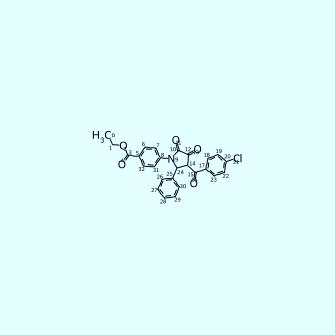 CCOC(=O)c1ccc(N2C(=O)C(=O)C(C(=O)c3ccc(Cl)cc3)C2c2ccccc2)cc1